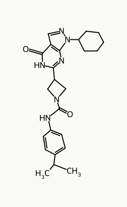 CC(C)c1ccc(NC(=O)N2CC(c3nc4c(cnn4C4CCCCC4)c(=O)[nH]3)C2)cc1